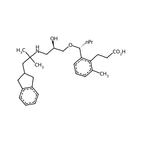 CCC[C@@H](OC[C@H](O)CNC(C)(C)CC1Cc2ccccc2C1)c1cccc(C)c1CCC(=O)O